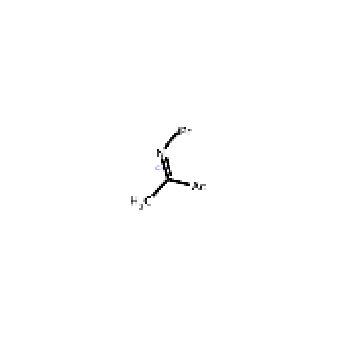 CC(=O)/C(C)=N\C(C)C